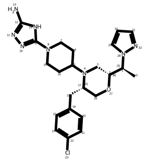 C[C@@H]([C@H]1CN(C2CCN(c3nnc(N)[nH]3)CC2)[C@@H](Cc2ccc(Cl)cc2)CO1)n1cccn1